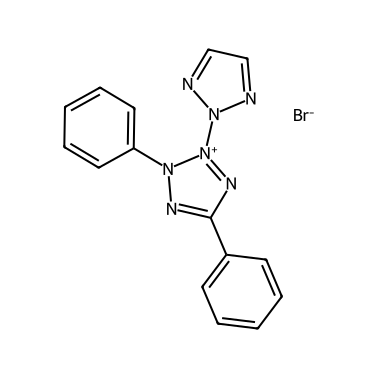 [Br-].c1ccc(-c2nn(-c3ccccc3)[n+](-n3nccn3)n2)cc1